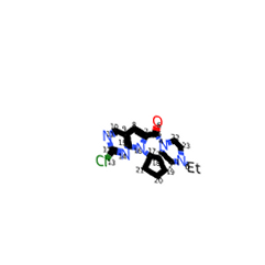 CCN1CCN(C(=O)c2cc3cnc(Cl)nc3n2C2CCCC2)CC1